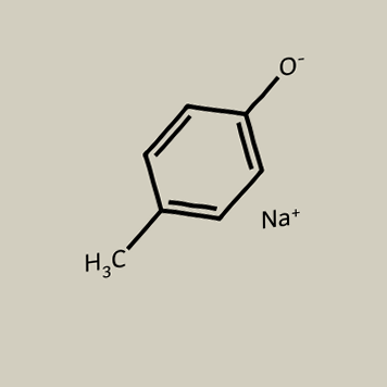 Cc1ccc([O-])cc1.[Na+]